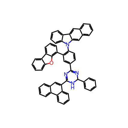 c1ccc(C2N=C(c3ccc(-n4c5ccccc5c5cc6ccccc6cc54)c(-c4cccc5c4oc4ccccc45)c3)N=C(c3cc4ccccc4c4ccccc34)N2)cc1